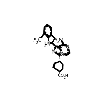 Nc1nccn2c1c(C1Cc3cccc(C(F)(F)F)c3N1)nc2[C@H]1CC[C@H](C(=O)O)CC1